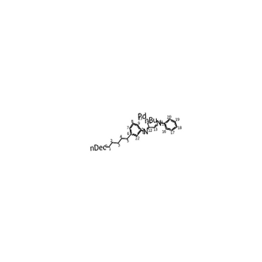 CCCCCCCCCCCCCCCc1cccc(/N=C(/C=N/c2ccccc2)CCCC)c1.[Pd]